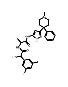 CC(NC(=O)C(O)c1cc(F)cc(F)c1)C(=O)Nc1cc(C2(c3ccccc3)CCN(C)CC2)n[nH]1